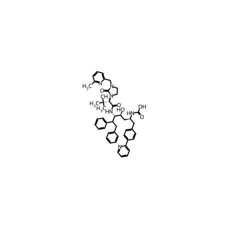 Cc1cccc(CN2CCN([C@H](C(=O)N[C@@H](C(Cc3ccccc3)c3ccccc3)[C@@H](O)C[C@H](Cc3ccc(-c4ccccn4)cc3)NC(=O)O)C(C)(C)C)C2=O)n1